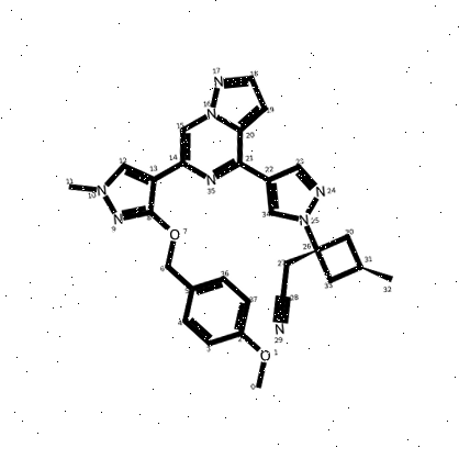 COc1ccc(COc2nn(C)cc2-c2cn3nccc3c(-c3cnn([C@]4(CC#N)C[C@@H](C)C4)c3)n2)cc1